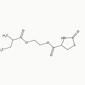 CCC(C)C(=O)OCCOC(=O)C1CSC(=O)N1